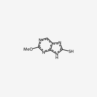 COc1ncc2nc(S)[nH]c2n1